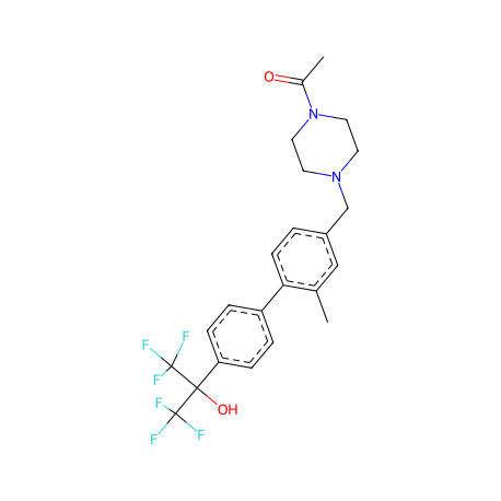 CC(=O)N1CCN(Cc2ccc(-c3ccc(C(O)(C(F)(F)F)C(F)(F)F)cc3)c(C)c2)CC1